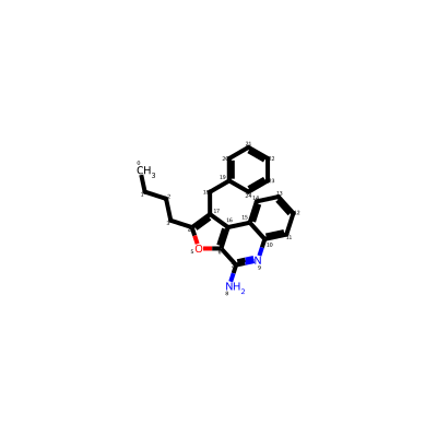 CCCCc1oc2c(N)nc3ccccc3c2c1Cc1ccccc1